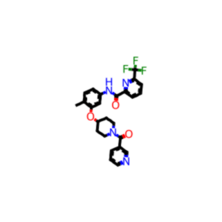 Cc1ccc(NC(=O)c2cccc(C(F)(F)F)n2)cc1OC1CCN(C(=O)c2cccnc2)CC1